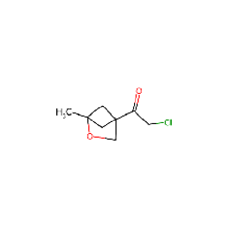 CC12CC(C(=O)CCl)(CO1)C2